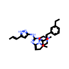 C/C=C/c1cc(NC2=N/C(N3CCN(C)CC3)=C/CC(C)C(/C=C/c3cccc(CC)c3)=N\2)n[nH]1